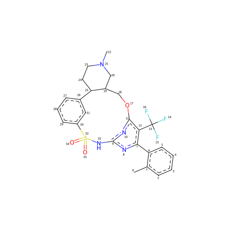 Cc1ccccc1-c1nc2nc(c1C(F)(F)F)OCC1CN(C)CCC1c1cccc(c1)S(=O)(=O)N2